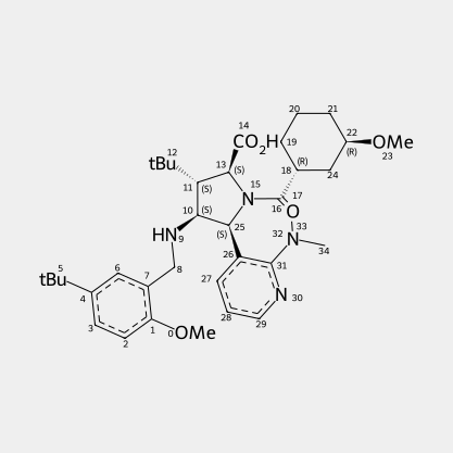 COc1ccc(C(C)(C)C)cc1CN[C@H]1[C@H](C(C)(C)C)[C@@H](C(=O)O)N(C(=O)[C@@H]2CCC[C@@H](OC)C2)[C@H]1c1cccnc1N(C)C